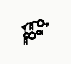 N#Cc1ccc2[nH]cc([C@@H]3C[C@H]3CNCc3ccc(F)cc3)c2c1